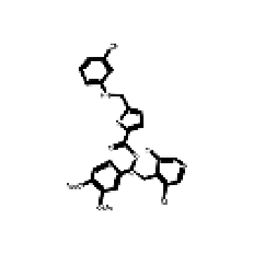 COc1ccc([C@H](Cc2c(Cl)cncc2Cl)OC(=O)c2ccc(CNc3cccc(C#N)c3)s2)cc1OC